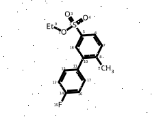 CCOS(=O)(=O)c1ccc(C)c(-c2ccc(F)cc2)c1